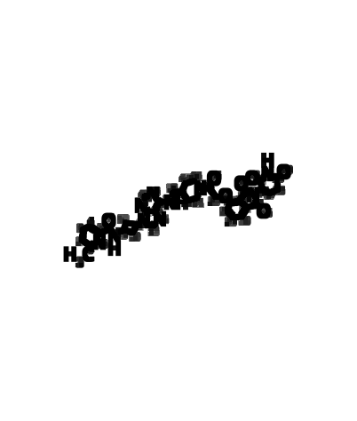 Cc1cccc(C(=O)NC2CC(n3cnc4c(NCC5CCN(C(=O)COc6cccc7c6C(=O)N([C@H]6CCC(=O)NC6=O)C7=O)CC5)ncnc43)C2)n1